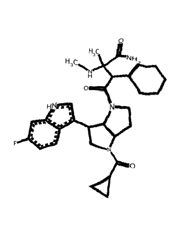 CNC(C)(C(N)=O)C(C(=O)N1CCC2C1C(c1c[nH]c3cc(F)ccc13)CN2C(=O)C1CC1)C1CCCCC1